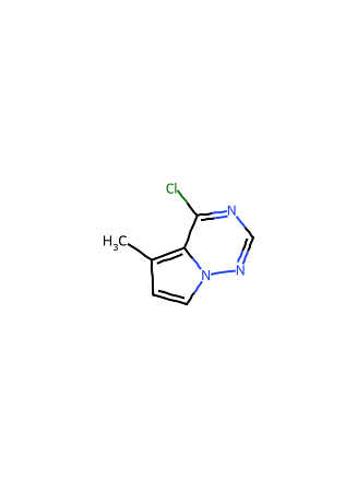 Cc1ccn2ncnc(Cl)c12